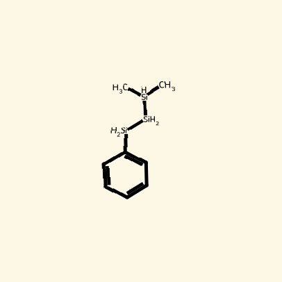 C[SiH](C)[SiH2][SiH2]c1ccccc1